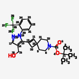 CC(C)(C)OC(=O)N1CCC2(C=C(c3c(CO)cnn3-c3ccccc3C(F)(F)F)C2)CC1